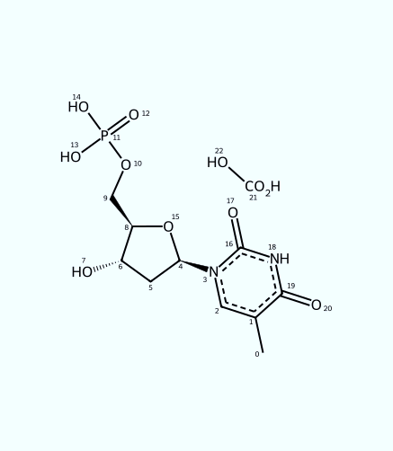 Cc1cn([C@H]2C[C@H](O)[C@@H](COP(=O)(O)O)O2)c(=O)[nH]c1=O.O=C(O)O